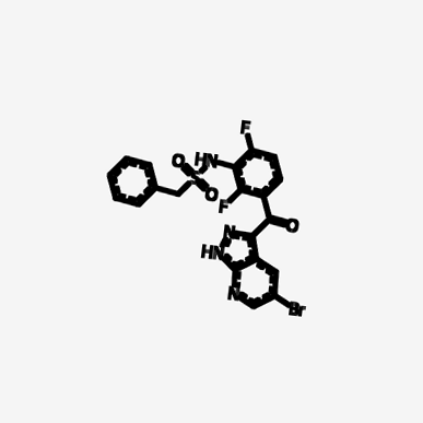 O=C(c1ccc(F)c(NS(=O)(=O)Cc2ccccc2)c1F)c1n[nH]c2ncc(Br)cc12